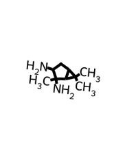 CC1(C)C2CC(N)C(C)(N)C21